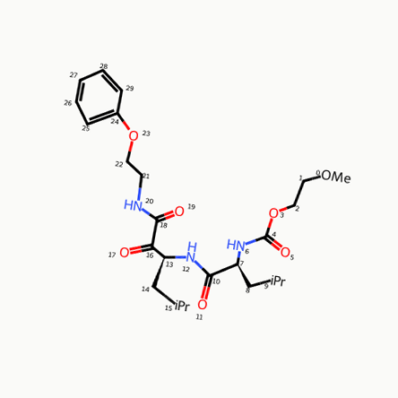 COCCOC(=O)N[C@@H](CC(C)C)C(=O)N[C@@H](CC(C)C)C(=O)C(=O)NCCOc1ccccc1